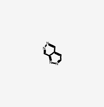 [c]1nncc2ccnnc12